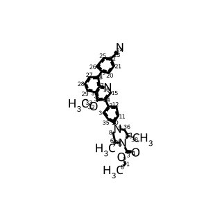 CCOC(=O)N1[C@H](C)CN(c2ccc(-c3cnc4c(-c5ccc(C#N)cc5)cccc4c3OC)cc2)C[C@@H]1C